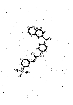 O=C(Nc1ccc(C(=O)c2ccc3nccnc3c2)cc1)Nc1cccc(C(F)(F)F)c1